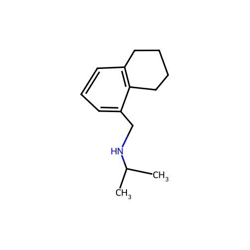 CC(C)NCc1cccc2c1CCCC2